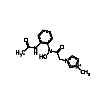 CC(=O)Nc1ccccc1N(O)C(=O)Cn1cc[n+](C)c1